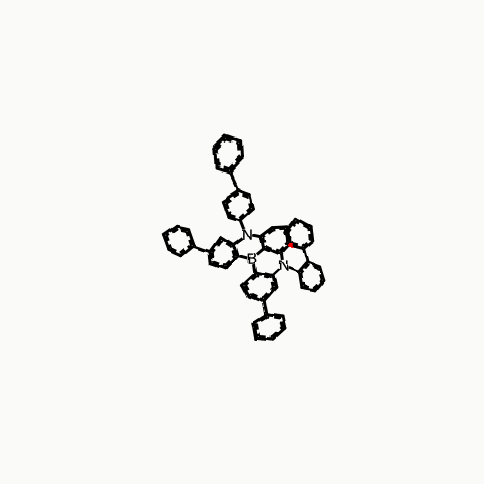 c1ccc(-c2ccc(N3c4cc(-c5ccccc5)ccc4B4c5ccc(-c6ccccc6)cc5N(c5ccccc5-c5ccccc5)c5cccc3c54)cc2)cc1